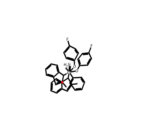 CC1=Cc2ccccc2[CH]1[Zr]([CH3])(=[SiH2])([O]c1ccc(F)cc1)([O]c1ccc(F)cc1)([c]1ccccc1)[CH]1C(C)=Cc2ccccc21